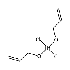 C=CC[O][Hf]([Cl])([Cl])[O]CC=C